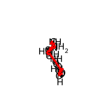 Nc1ncc(-c2ccc(S(=O)(=O)Nc3cccc(NC(=O)CCCCNCCCOCCOCCOCCNc4cccc5c4C(=O)N(C4CCC(=O)NC4=O)C5=O)c3)cc2F)cc1-c1ccc2c(c1)CCNC2=O